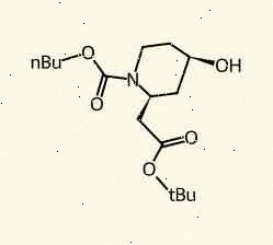 CCCCOC(=O)N1CC[C@@H](O)C[C@H]1CC(=O)OC(C)(C)C